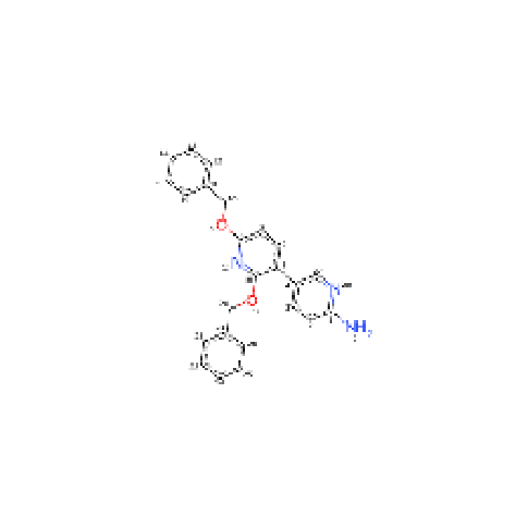 Nc1ccc(-c2ccc(OCc3ccccc3)nc2OCc2ccccc2)cn1